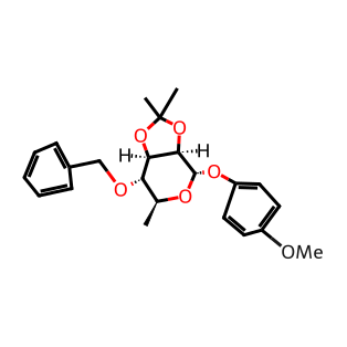 COc1ccc(O[C@@H]2O[C@@H](C)[C@H](OCc3ccccc3)[C@H]3OC(C)(C)O[C@@H]23)cc1